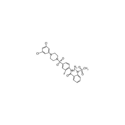 CN(c1ccccc1C(=O)Nc1ccc(S(=O)(=O)N2CCN(c3cc(Cl)cc(Cl)c3)CC2)cc1F)S(C)(=O)=O